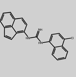 N=C(Nc1ccc2cccc3c2c1C=C3)Nc1ccc(Cl)c2ccccc12